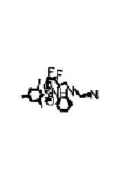 Cc1cc(C)c(S(=O)(=O)NC(CN(CCC#N)c2ccccc2)C(F)(F)F)c(C)c1